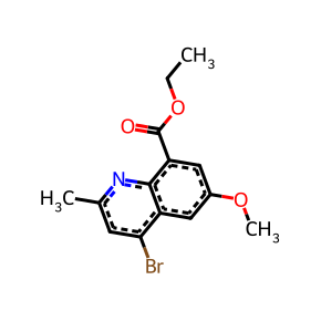 CCOC(=O)c1cc(OC)cc2c(Br)cc(C)nc12